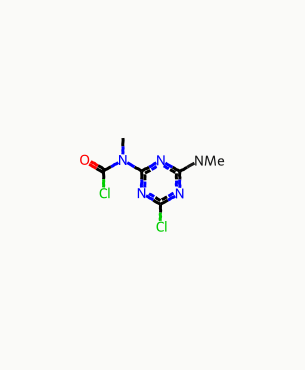 CNc1nc(Cl)nc(N(C)C(=O)Cl)n1